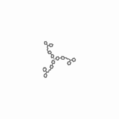 C(=Cc1ccc(-c2ccc(N(c3ccc(-c4ccc(C=CC=C(c5ccccc5)c5ccccc5)cc4)cc3)c3ccc(-c4ccc(C=CC=C(c5ccccc5)c5ccccc5)cc4)cc3)cc2)cc1)C=C(c1ccccc1)c1ccccc1